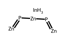 [InH3].[Zn]=[P][Zn][P]=[Zn]